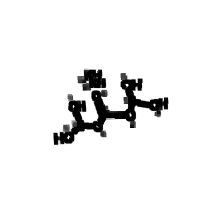 O=C(OB(O)O)OB(O)O.[KH].[KH]